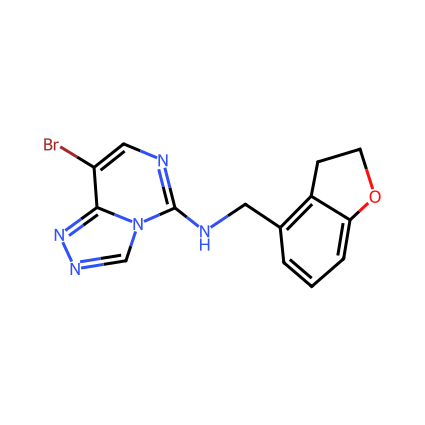 Brc1cnc(NCc2cccc3c2CCO3)n2cnnc12